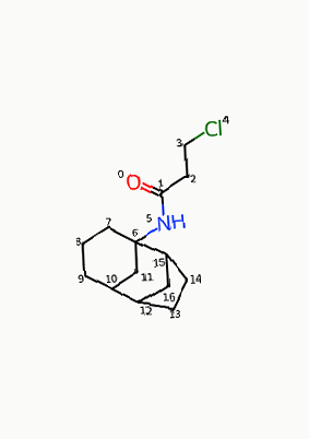 O=C(CCCl)NC12CCCC(C1)C1CCC2C1